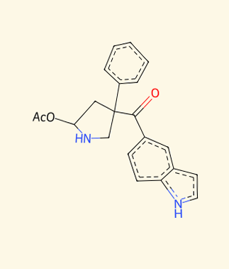 CC(=O)OC1CC(C(=O)c2ccc3[nH]ccc3c2)(c2ccccc2)CN1